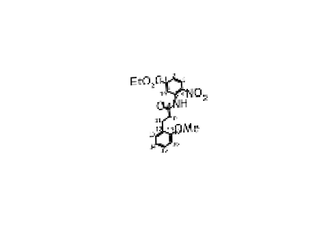 CCOC(=O)c1ccc([N+](=O)[O-])c(NC(=O)CCc2ccccc2OC)c1